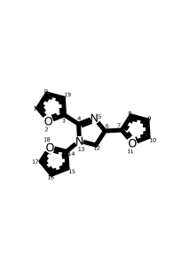 c1coc(C2=NC(c3ccco3)CN2c2ccco2)c1